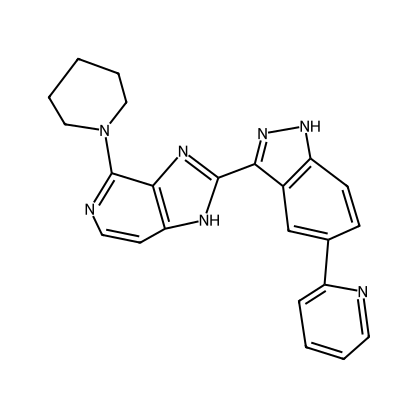 c1ccc(-c2ccc3[nH]nc(-c4nc5c(N6CCCCC6)nccc5[nH]4)c3c2)nc1